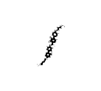 C=CCCCOc1ccc(C2CCC(OC(=O)c3ccc(C4CCC(OCCCC)CC4)c(F)c3F)CC2)c(F)c1